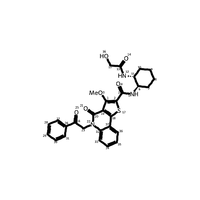 COc1c(C(=O)N[C@@H]2CCCC[C@H]2NC(=O)CO)sc2c1c(=O)n(CC(=O)c1ccccc1)c1ccccc21